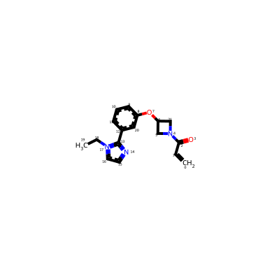 C=CC(=O)N1CC(Oc2cccc(-c3nccn3CC)c2)C1